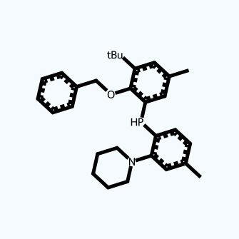 Cc1ccc(Pc2cc(C)cc(C(C)(C)C)c2OCc2ccccc2)c(N2CCCCC2)c1